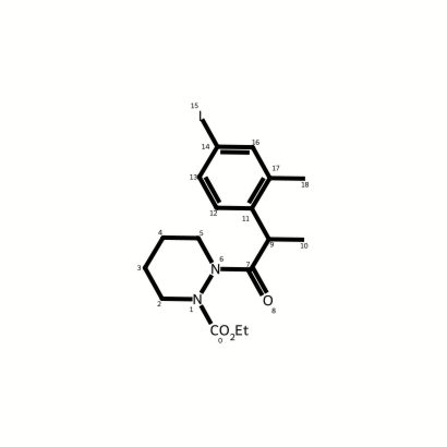 CCOC(=O)N1CCCCN1C(=O)C(C)c1ccc(I)cc1C